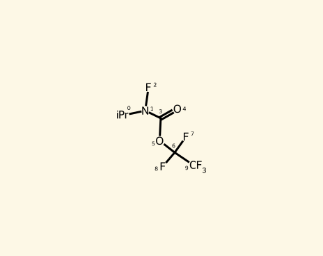 CC(C)N(F)C(=O)OC(F)(F)C(F)(F)F